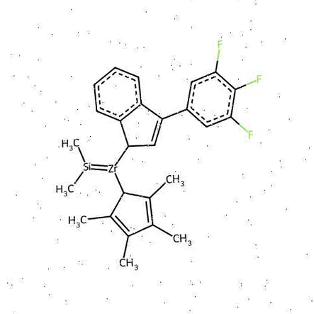 CC1=C(C)[CH]([Zr]([CH]2C=C(c3cc(F)c(F)c(F)c3)c3ccccc32)=[Si](C)C)C(C)=C1C